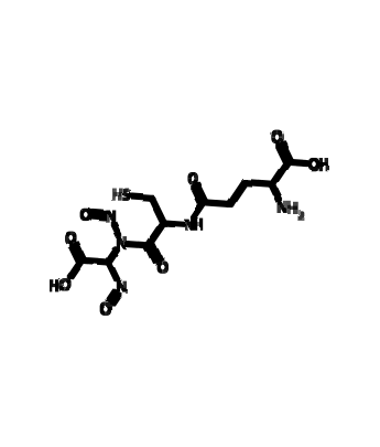 NC(CCC(=O)NC(CS)C(=O)N(N=O)C(N=O)C(=O)O)C(=O)O